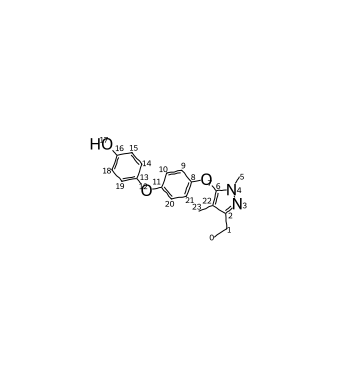 CCc1nn(C)c(Oc2ccc(Oc3ccc(O)cc3)cc2)c1C